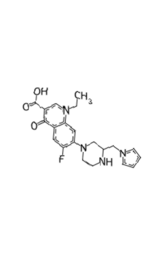 CCn1cc(C(=O)O)c(=O)c2cc(F)c(N3CCNC(Cn4cccc4)C3)cc21